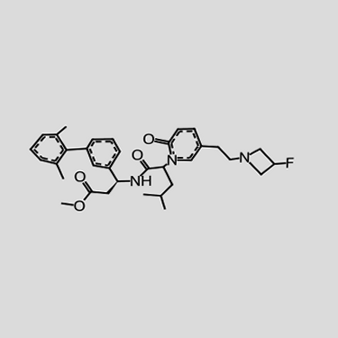 COC(=O)C[C@H](NC(=O)C(CC(C)C)n1cc(CCN2CC(F)C2)ccc1=O)c1cccc(-c2c(C)cccc2C)c1